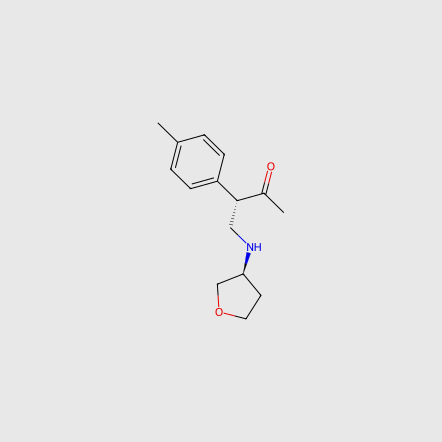 CC(=O)[C@H](CN[C@H]1CCOC1)c1ccc(C)cc1